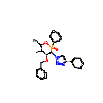 CCC1OP(=O)(c2ccccc2)C(n2cc(-c3ccccc3)nn2)C(OCc2ccccc2)C1C